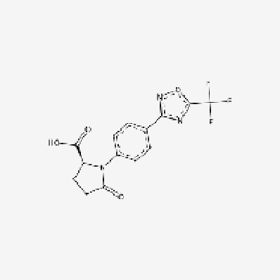 O=C(O)[C@@H]1CCC(=O)N1c1ccc(-c2noc(C(F)(F)F)n2)cc1